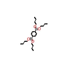 C=CC=C[O][Bi]([O]C=CC=C)[c]1cc[c]([Bi]([O]C=CC=C)[O]C=CC=C)cc1